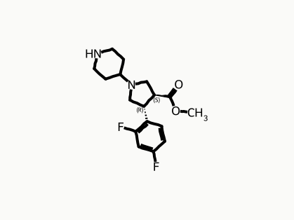 COC(=O)[C@@H]1CN(C2CCNCC2)C[C@H]1c1ccc(F)cc1F